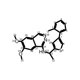 [CH2]c1ccccc1-c1csc(C(C)Nc2nncc3cc(OC)c(OC)cc23)c1